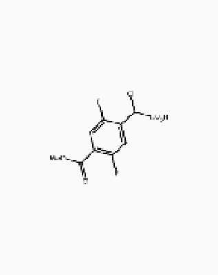 COC(=O)c1cc(F)c(C(Cl)C(=O)O)cc1F